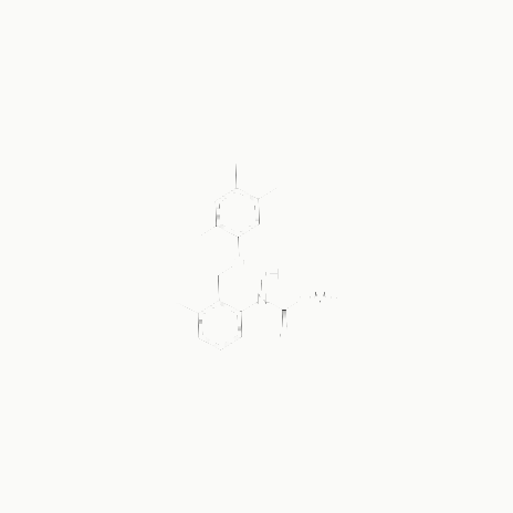 COC(=O)N(O)c1cccc(I)c1COc1cc(C)c(C)cc1F